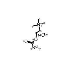 C[N+](C)(C)CCOC(N)=O.Cl